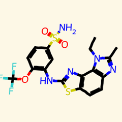 CCn1c(C)nc2ccc3sc(Nc4cc(S(N)(=O)=O)ccc4OC(F)(F)F)nc3c21